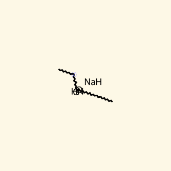 CCCCCCCC/C=C\CCCCCCCC(=O)ONCCCCCCCCCCCCCCCCCC.[NaH]